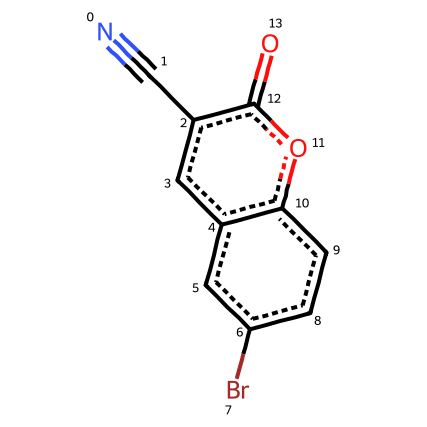 N#Cc1cc2cc(Br)ccc2oc1=O